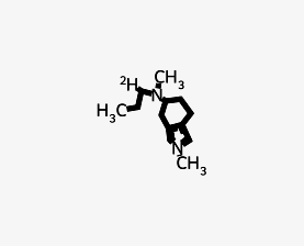 [2H]C(CC)N(C)C1CCc2cn(C)cc2C1